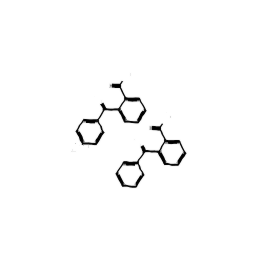 O=C([O-])c1ccccc1C(=O)c1ccccc1.O=C([O-])c1ccccc1C(=O)c1ccccc1.[Zn+2]